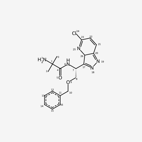 CC(C)(N)C(=O)N[C@@H](COCc1ccccc1)C1=NN=C2C=CC(Cl)=NC21